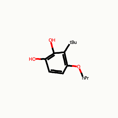 CCCOc1ccc(O)c(O)c1C(C)(C)C